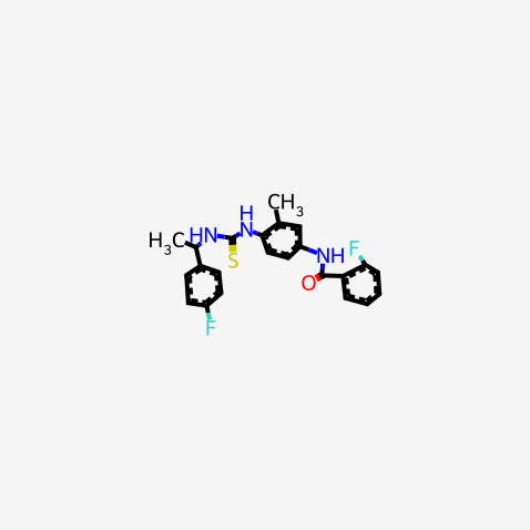 Cc1cc(NC(=O)c2ccccc2F)ccc1NC(=S)NC(C)c1ccc(F)cc1